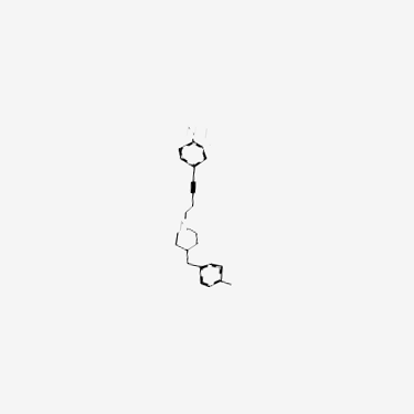 Cc1ccc(CC2CCN(CCC#Cc3ccc(N)cc3)CC2)cc1